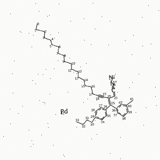 CCCCCCCCCCCCCCCCCCC#CC(C=C=[N+]=[N-])=C(c1ccc(CCCC)cc1)c1cccc(C)c1.[Pd]